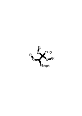 CCCCCCCC(OCC)C([C]=O)(OCC)OCC